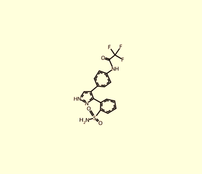 NS(=O)(=O)c1ccccc1-c1n[nH]cc1-c1ccc(NC(=O)C(F)(F)F)cc1